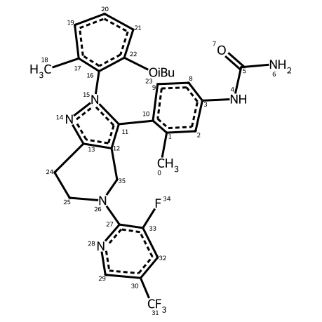 Cc1cc(NC(N)=O)ccc1-c1c2c(nn1-c1c(C)cccc1OCC(C)C)CCN(c1ncc(C(F)(F)F)cc1F)C2